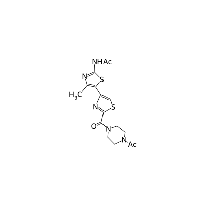 CC(=O)Nc1nc(C)c(-c2csc(C(=O)N3CCN(C(C)=O)CC3)n2)s1